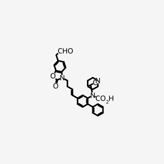 O=CCc1ccc2c(c1)oc(=O)n2CCC=Cc1ccc(-c2ccccc2)c(N(C(=O)O)C2CN3CCC2CC3)c1